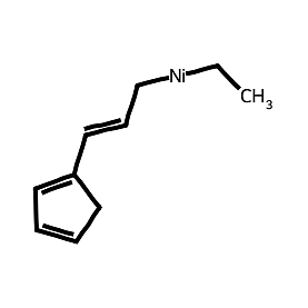 C[CH2][Ni][CH2]C=CC1=CC=CC1